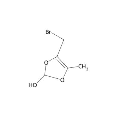 CC1=C(CBr)OC(O)O1